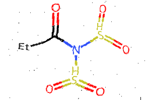 CCC(=O)N([SH](=O)=O)[SH](=O)=O